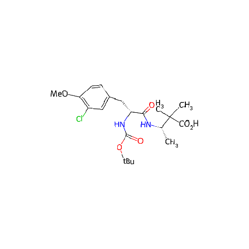 COc1ccc(C[C@@H](NC(=O)OC(C)(C)C)C(=O)N[C@@H](C)C(C)(C)C(=O)O)cc1Cl